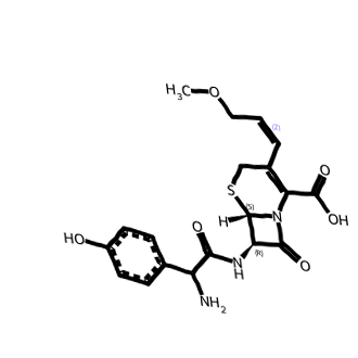 COC/C=C\C1=C(C(=O)O)N2C(=O)[C@@H](NC(=O)C(N)c3ccc(O)cc3)[C@@H]2SC1